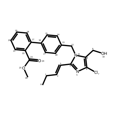 CCC=Cc1nc(Cl)c(CO)n1Cc1ccc(-c2ccccc2C(=O)OC)cc1